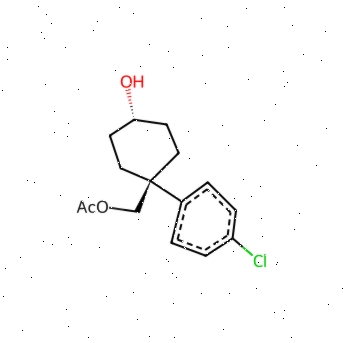 CC(=O)OC[C@]1(c2ccc(Cl)cc2)CC[C@@H](O)CC1